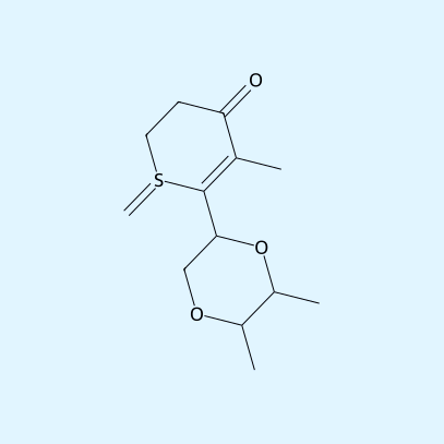 C=S1CCC(=O)C(C)=C1C1COC(C)C(C)O1